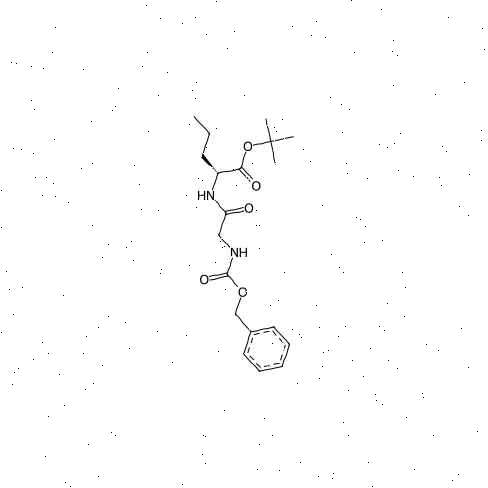 CCC[C@H](NC(=O)CNC(=O)OCc1ccccc1)C(=O)OC(C)(C)C